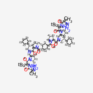 C[C@H](N)C(=O)N[C@H](C(=O)N1CCC[C@H]1CN(CCc1ccccc1)C(=O)[C@H]1CCCN1C(=O)c1ccc(C(=O)N2CCC[C@@H]2C(=O)N(CCc2ccccc2)C[C@@H]2CCCN2C(=O)[C@@H](NC(=O)[C@H](C)N)C(C)(C)C)cc1)C(C)(C)C